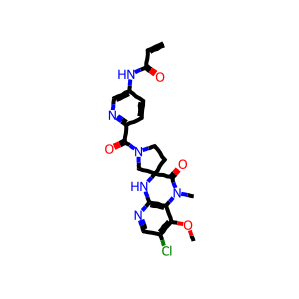 C=CC(=O)Nc1ccc(C(=O)N2CCC3(C2)Nc2ncc(Cl)c(OC)c2N(C)C3=O)nc1